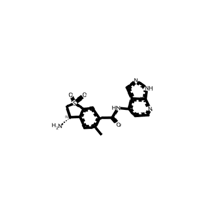 Cc1cc2c(cc1C(=O)Nc1ccnc3[nH]ncc13)S(=O)(=O)C[C@H]2N